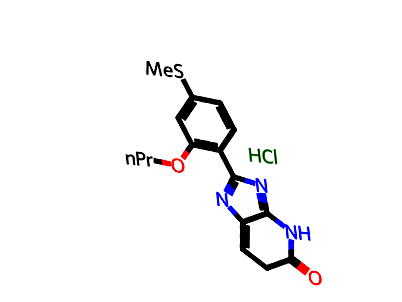 CCCOc1cc(SC)ccc1C1=NC2=CCC(=O)NC2=N1.Cl